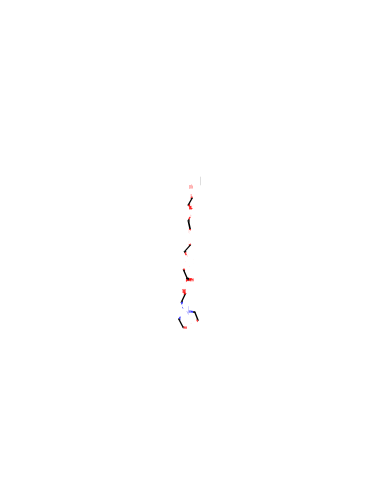 COCCOCCOCCOCC(=O)OCCN1CCOCC1